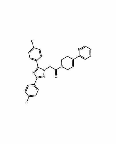 O=C(Cn1nc(-c2ccc(F)cc2)nc1-c1ccc(F)cc1)N1CC=C(c2ccccn2)CC1